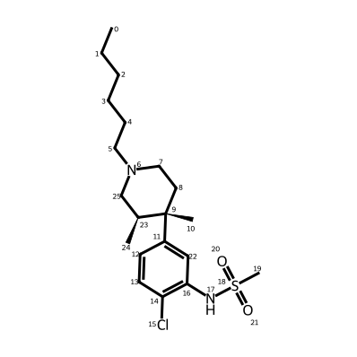 CCCCCCN1CC[C@](C)(c2ccc(Cl)c(NS(C)(=O)=O)c2)[C@@H](C)C1